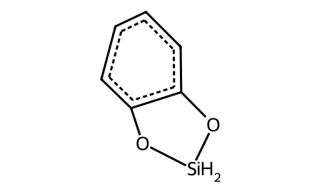 c1ccc2c(c1)O[SiH2]O2